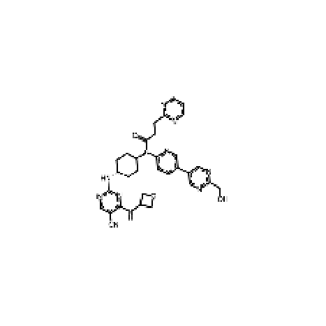 N#Cc1cnc(N[C@H]2CC[C@H](N(C(=O)CCc3ncccn3)c3ccc(-c4cnc(CO)nc4)cn3)CC2)nc1NC1COC1